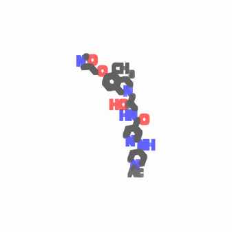 CC(=O)N1CCC(Nc2cc(C(=O)NC[C@H](O)CN3CCc4c(ccc(OCc5cnco5)c4C)C3)ccn2)CC1